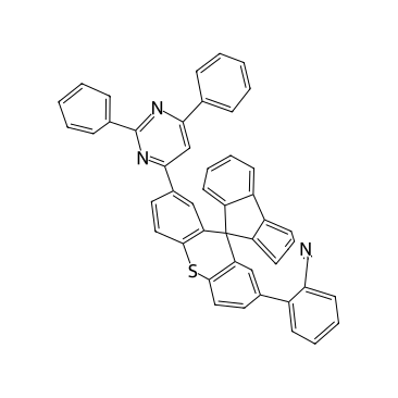 N#Cc1ccccc1-c1ccc2c(c1)C1(c3cc(-c4cc(-c5ccccc5)nc(-c5ccccc5)n4)ccc3S2)c2ccccc2-c2ccccc21